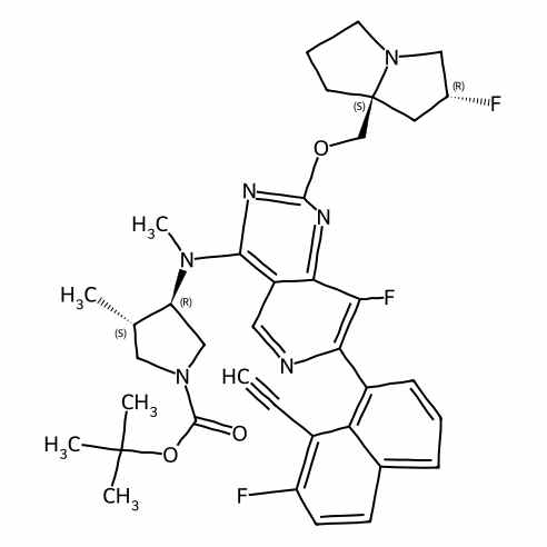 C#Cc1c(F)ccc2cccc(-c3ncc4c(N(C)[C@H]5CN(C(=O)OC(C)(C)C)C[C@@H]5C)nc(OC[C@@]56CCCN5C[C@H](F)C6)nc4c3F)c12